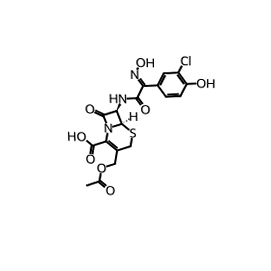 CC(=O)OCC1=C(C(=O)O)N2C(=O)[C@@H](NC(=O)C(=NO)c3ccc(O)c(Cl)c3)[C@H]2SC1